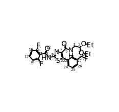 CCOC(CNC(=O)c1nc(NC(=O)c2c(F)cccc2F)sc1-c1cccc(CF)c1)OCC